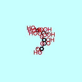 COc1cc(C2CC(=O)c3c(O)cc(O[C@@H]4O[C@H](CO)[C@@H](O)[C@H](O)[C@H]4O[C@@H]4OC[C@](O)(CO)[C@H]4O)cc3O2)ccc1O